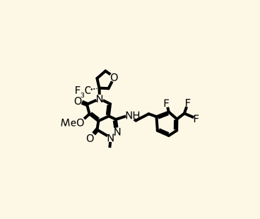 COc1c(=O)n([C@@]2(C(F)(F)F)CCOC2)cc2c(NCCc3cccc(C(F)F)c3F)nn(C)c(=O)c12